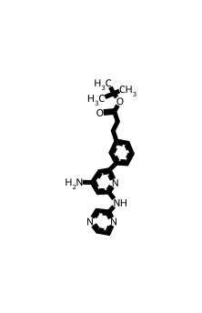 CC(C)(C)OC(=O)CCc1cccc(-c2cc(N)cc(Nc3cnccn3)n2)c1